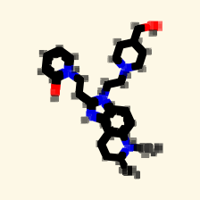 C[C@H]1CCc2c(ccc3c2nc(CCn2ccccc2=O)n3CCN2CCC(CO)CC2)N1C(=O)O